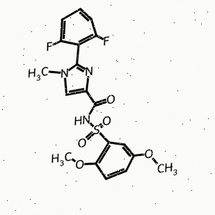 COc1ccc(OC)c(S(=O)(=O)NC(=O)c2cn(C)c(-c3c(F)cccc3F)n2)c1